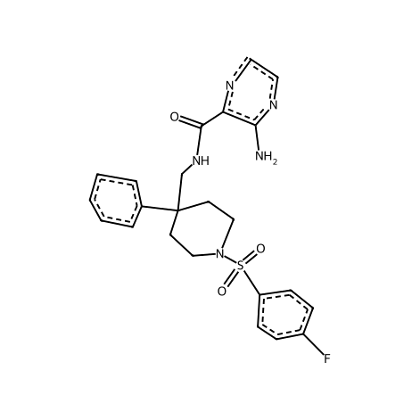 Nc1nccnc1C(=O)NCC1(c2ccccc2)CCN(S(=O)(=O)c2ccc(F)cc2)CC1